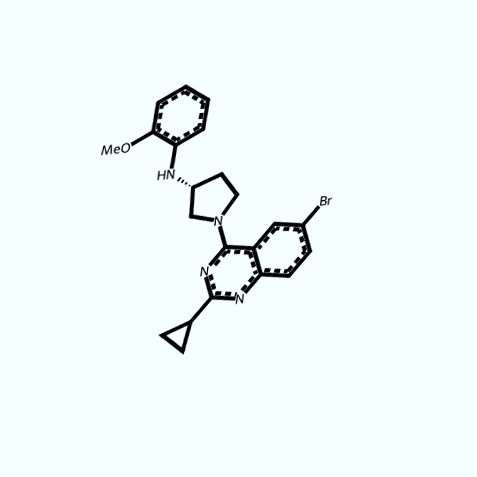 COc1ccccc1N[C@@H]1CCN(c2nc(C3CC3)nc3ccc(Br)cc23)C1